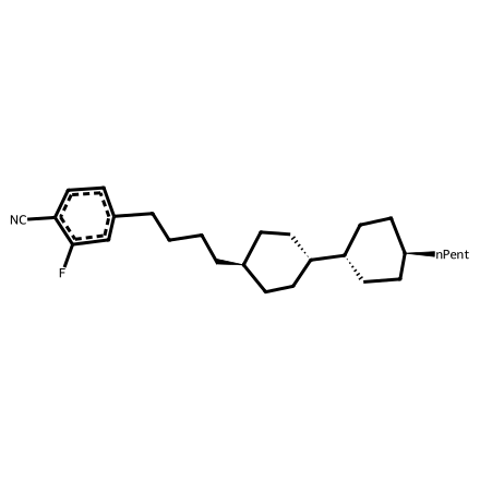 CCCCC[C@H]1CC[C@H]([C@H]2CC[C@H](CCCCc3ccc(C#N)c(F)c3)CC2)CC1